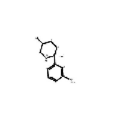 C[C@H]1CC[C@@](C)(c2cccc(N)c2)NC1